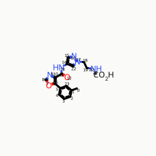 Cc1cccc(-c2ocnc2C(=O)Nc2cnn(CCNC(=O)O)c2)c1